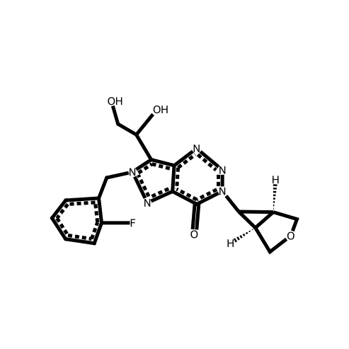 O=c1c2nn(Cc3ccccc3F)c(C(O)CO)c2nnn1C1[C@H]2COC[C@@H]12